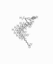 C=C(C)C(=O)[O-].C=C(C)C(=O)[O-].C=C(C)C(=O)[O-].C=C(C)C(=O)[O-].C=C(C)C(=O)[O-].C=C(C)C(=O)[O-].CCCCCCCC(=O)[O-].CCCCCCCC(=O)[O-].OCCO.[Pb+2].[Pb+2].[Pb+2].[Pb+2]